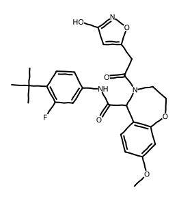 COc1ccc2c(c1)OCCN(C(=O)Cc1cc(O)no1)C2C(=O)Nc1ccc(C(C)(C)C)c(F)c1